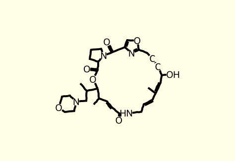 CC1=C\C(O)CCCc2nc(co2)C(=O)N2CCCC2C(=O)OC(C(C)CN2CCOCC2)C(C)/C=C/C(=O)NC\C=C\1